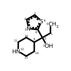 CCC(O)(c1nccs1)C1CCNCC1